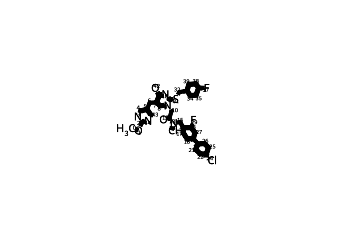 COc1ncc(Cc2cn(CC(=O)N(C)Cc3ccc(-c4ccc(Cl)cc4)cc3F)c(SCc3ccc(F)cc3)nc2=O)cn1